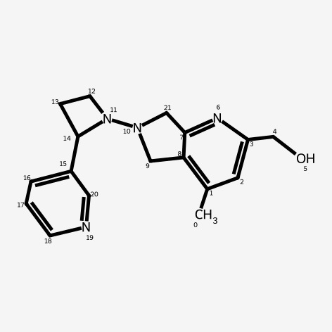 Cc1cc(CO)nc2c1CN(N1CCC1c1cccnc1)C2